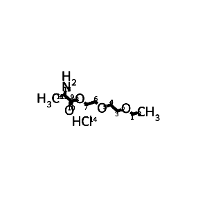 CCOCCOCCOC(=O)[C@H](C)N.Cl